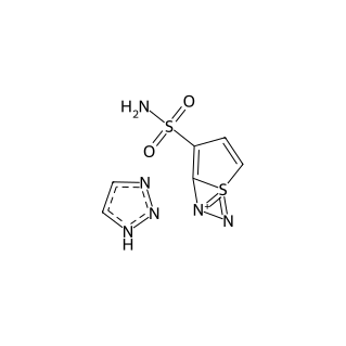 NS(=O)(=O)C1=C2[N+]3=S2(=N3)C=C1.c1c[nH]nn1